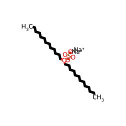 CCCCCCCCCCCCCOCCCCCCCCCCCCC.O=S(=O)([O-])[O-].[Na+].[Na+]